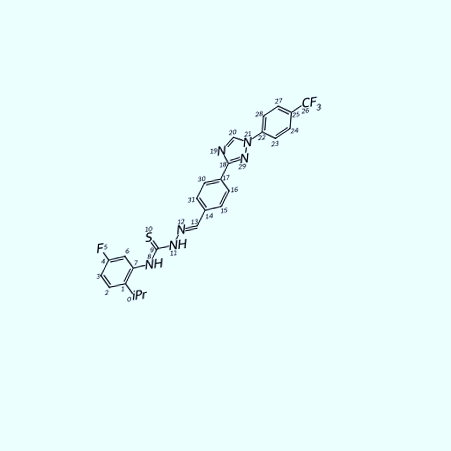 CC(C)c1ccc(F)cc1NC(=S)N/N=C/c1ccc(-c2ncn(-c3ccc(C(F)(F)F)cc3)n2)cc1